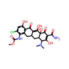 COC(=O)Nc1c(Cl)cc(O)c2c1CC1CC3C(N(C)C)C(O)=C(C(N)=O)C(=O)C3(O)C(O)=C1C2=O